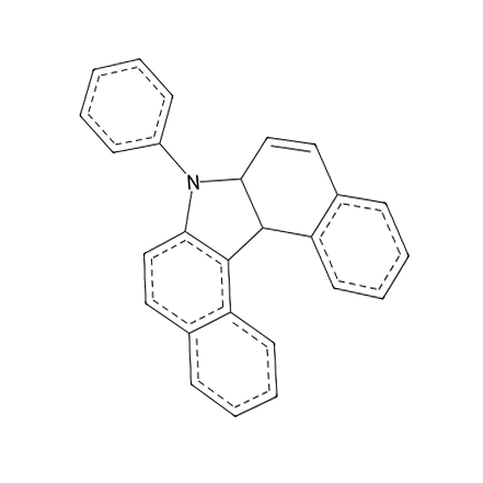 C1=CC2C(c3ccccc31)c1c(ccc3ccccc13)N2c1ccccc1